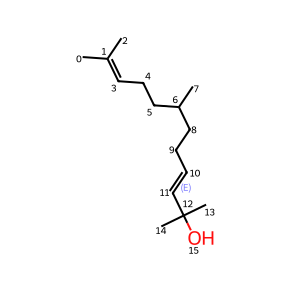 CC(C)=CCCC(C)CC/C=C/C(C)(C)O